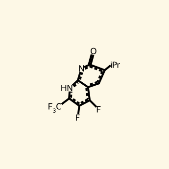 CC(C)c1cc2c(F)c(F)c(C(F)(F)F)[nH]c-2nc1=O